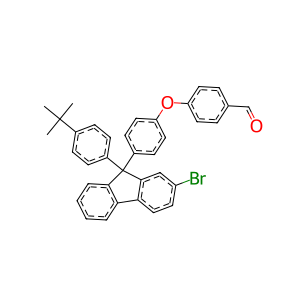 CC(C)(C)c1ccc(C2(c3ccc(Oc4ccc(C=O)cc4)cc3)c3ccccc3-c3ccc(Br)cc32)cc1